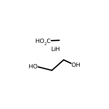 CC(=O)O.OCCO.[LiH]